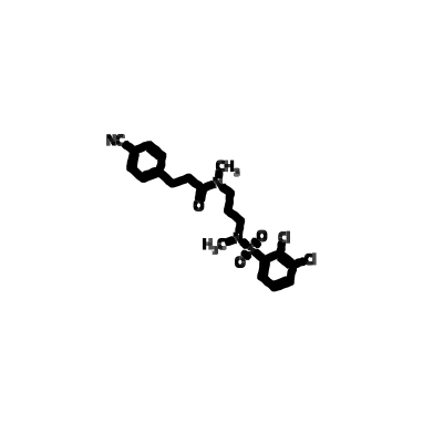 CN(CCCN(C)S(=O)(=O)c1cccc(Cl)c1Cl)C(=O)CCc1ccc(C#N)cc1